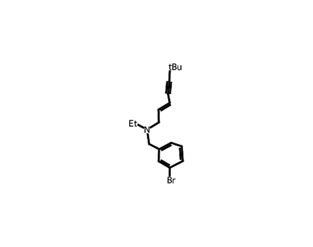 CCN(CC=CC#CC(C)(C)C)Cc1cccc(Br)c1